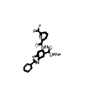 COC(=O)c1cc2nc(C3CCCCC3)sc2cc1NC(=O)c1cccc(C(F)F)n1